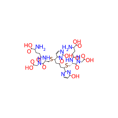 N[C@H](CCC(=O)N[C@@H](CSC(CC(=O)CC(SC[C@H](NC(=O)CC[C@H](N)C(=O)O)C(=O)NCC(=O)O)c1ccnc(O)n1)c1nccc(O)n1)C(=O)NCC(=O)O)C(=O)O